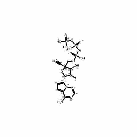 C#C[C@]1(COP(=O)(O)OP(=O)(O)OP(=O)(O)O)O[C@@H](c2ccc3c(N)ncnn23)[C@H](F)[C@@H]1O